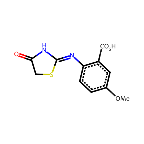 COc1ccc(/N=C2/NC(=O)CS2)c(C(=O)O)c1